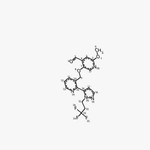 COc1cc(C=O)c(OCc2cccnc2-c2ccnn2CCC(F)(F)F)cn1